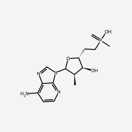 C=P(C)(O)CC[C@H]1OC(n2cnc3c(N)ccnc32)[C@H](C)[C@@H]1O